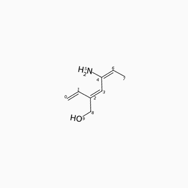 C=C/C(=C\C(N)=C/C)CO